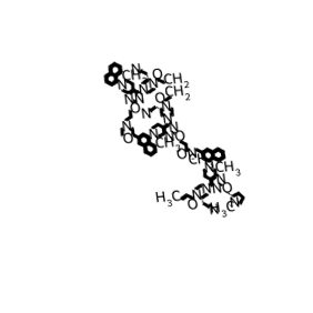 C=CC(=O)N1CCN(c2nc(OCCCN3CCOC(c4cc(N5CCc6c(nc(OCCC(=O)N(C)Cc7cc(N8CCc9c(nc(OC[C@@H]%10CCCN%10C)nc9N9CCN(C(=O)/C=C/C)[C@@H](CC#N)C9)C8)c8c(C)cccc8c7)nc6N6CCN(C(=O)C=C)[C@@H](CC#N)C6)C5)c5c(C)cccc5c4)C3)nc3c2CCN(c2cccc4cccc(C)c24)C3)C[C@@H]1CC#N